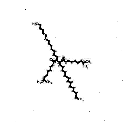 CCCCCCCCCCCCCCC(C(=O)OCCCCCC(C)C)C(CCCCCCCCCCCCCC)C(=O)OCCCCCC(C)C